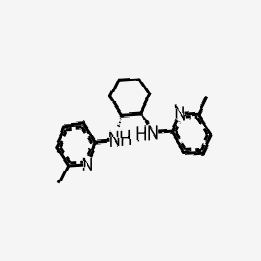 Cc1cccc(N[C@@H]2CCCC[C@H]2Nc2cccc(C)n2)n1